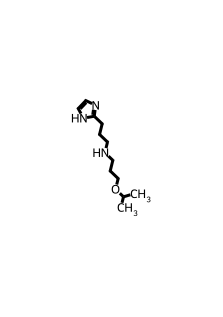 CC(C)OCCCNCCCc1ncc[nH]1